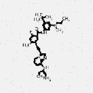 C=C/C(=C\N)Nc1cccn2c(C#Cc3cc(C(=O)Nc4cc(N(C)CCC)cc(C(C)(C)C)c4)c(F)cc3C)cnc12